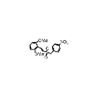 COc1cccc(OC)c1/C=C/S(=O)(=O)Cc1ccc([N+](=O)[O-])cc1